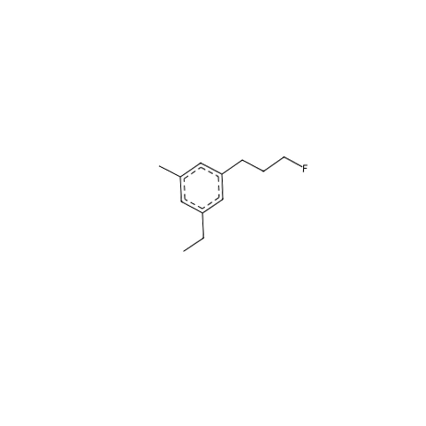 CCc1cc(C)cc(CCCF)c1